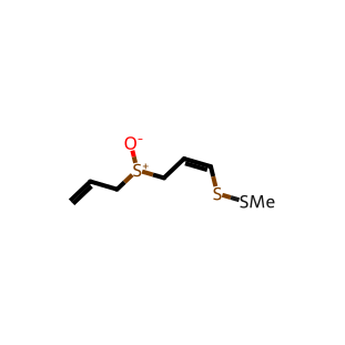 C=CC[S+]([O-])C/C=C\SSC